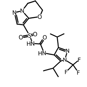 CC(C)c1nn(C(F)(F)F)c(C(C)C)c1NC(=O)NS(=O)(=O)c1cnn2c1OCCC2